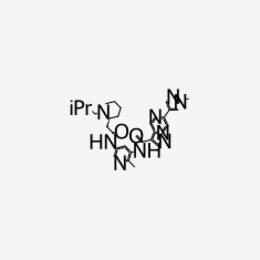 Cc1ncc(NC(=O)C[C@@H]2CCCCN2CC(C)C)cc1NC(=O)c1cnn2cc(-c3cnn(C)c3)ncc12